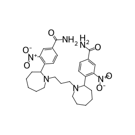 NC(=O)c1ccc(C2CCCCCN2CCCN2CCCCCC2c2ccc(C(N)=O)cc2[N+](=O)[O-])c([N+](=O)[O-])c1